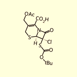 CC(=O)OCC1=C(C(=O)O)N2C(=O)[C@@](Cl)(SC(=O)OC(C)(C)C)[C@H]2SC1